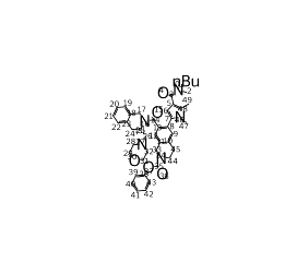 CCCCN(C)C(=O)c1cc(-c2cc3c(cc2C(=O)N2Cc4ccccc4C[C@H]2CN2CCOCC2)CN(C(=O)Oc2ccccc2)CC3)n(C)c1C